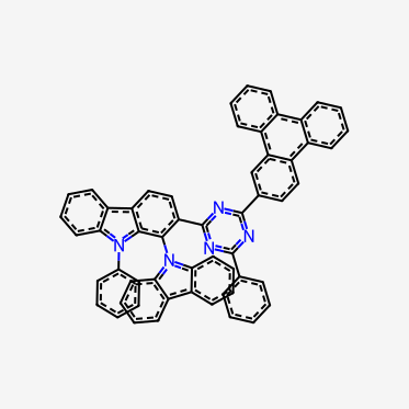 c1ccc(-c2nc(-c3ccc4c5ccccc5c5ccccc5c4c3)nc(-c3ccc4c5ccccc5n(-c5ccccc5)c4c3-n3c4ccccc4c4ccccc43)n2)cc1